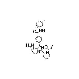 C=CC(=O)N1CCCCC1c1nc(-c2ccc(C(=O)Nc3cc(C)ccn3)cc2)c2c(N)nccn12